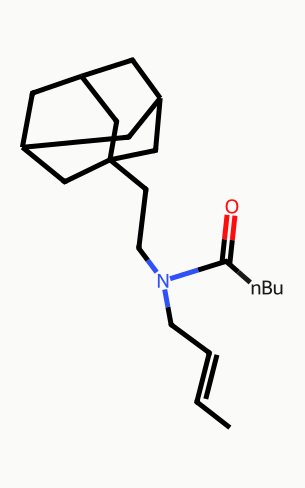 C/C=C/CN(CCC12CC3CC(CC(C3)C1)C2)C(=O)CCCC